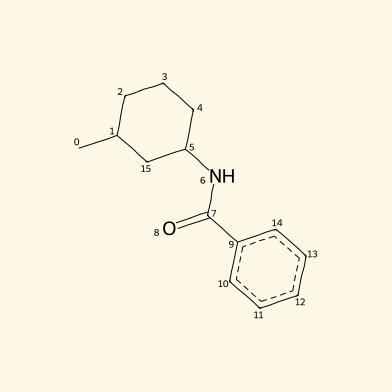 CC1CCCC(NC(=O)c2ccccc2)C1